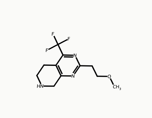 COCCc1nc2c(c(C(F)(F)F)n1)CCNC2